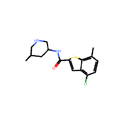 Cc1ccc(Cl)c2cc(C(=O)NC3CNCC(C)C3)sc12